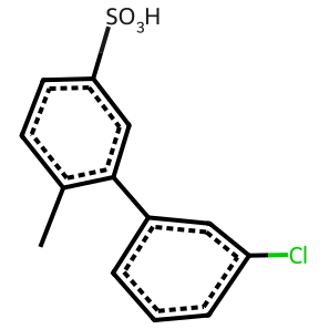 Cc1ccc(S(=O)(=O)O)cc1-c1cccc(Cl)c1